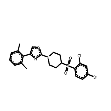 Cc1cccc(C)c1-c1csc(N2CCC(S(=O)(=O)c3ccc(Br)cc3Cl)CC2)n1